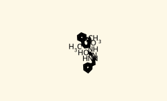 C[C@H]1C[C@@H](NC(O)c2nnc(Cc3ccccc3)[nH]2)C(=O)N(C)c2ccccc21